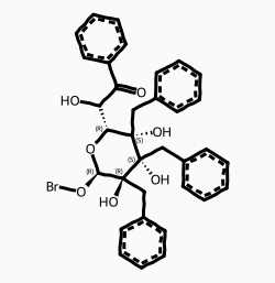 O=C(c1ccccc1)C(O)[C@H]1O[C@H](OBr)[C@@](O)(Cc2ccccc2)[C@](O)(Cc2ccccc2)[C@]1(O)Cc1ccccc1